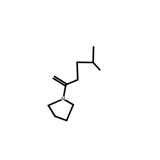 C=C(CCC(C)C)N1CCCC1